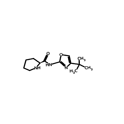 CC(C)(C)c1coc(NC(=O)[C@@H]2CCCCN2)n1